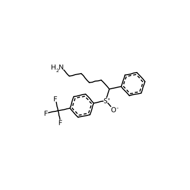 NCCCCC(c1ccccc1)[S+]([O-])c1ccc(C(F)(F)F)cc1